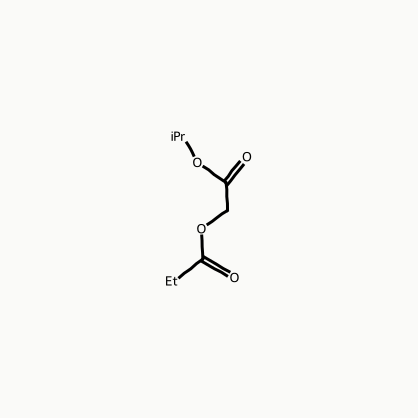 [CH2]CC(=O)OCC(=O)OC(C)C